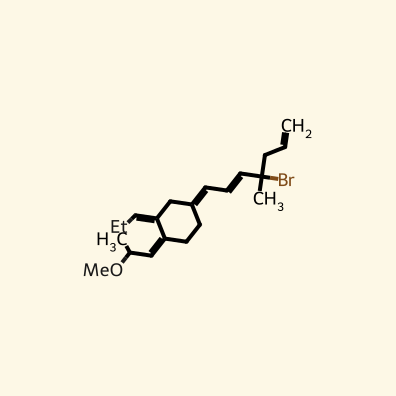 C=CCC(C)(Br)/C=C/C=C1\CCC(=C/C(C)OC)/C(=C\CC)C1